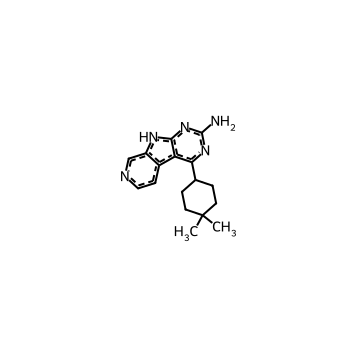 CC1(C)CCC(c2nc(N)nc3[nH]c4cnccc4c23)CC1